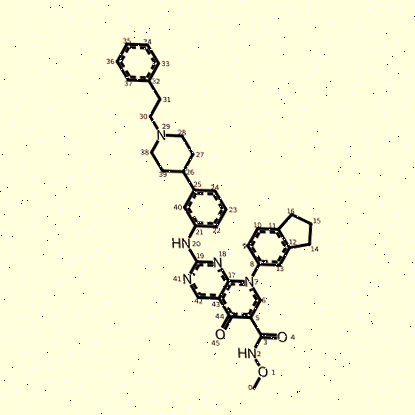 CONC(=O)c1cn(-c2ccc3c(c2)CCC3)c2nc(Nc3cccc(C4CCN(CCc5ccccc5)CC4)c3)ncc2c1=O